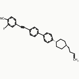 C=CCC[C@H]1CC[C@H](c2ccc(-c3ccc(C#Cc4ccc(C#N)c(F)c4)cc3)cc2)CC1